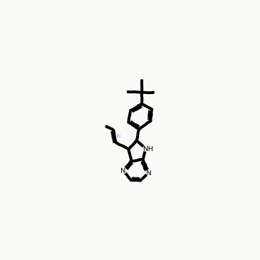 C/C=C/C1c2nccnc2NC1c1ccc(C(C)(C)C)cc1